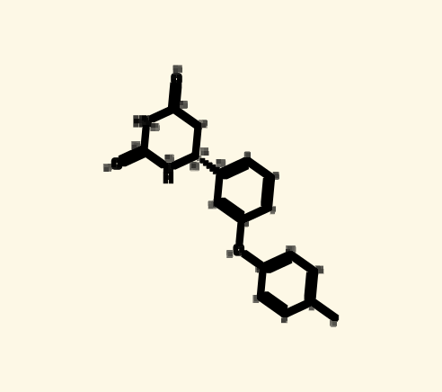 Cc1ccc(Oc2cccc([C@H]3CC(=O)NC(=O)N3)c2)cc1